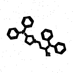 CCC(CCN1CCC(P(c2ccccc2)c2ccccc2)C1)P(c1ccccc1)c1ccccc1